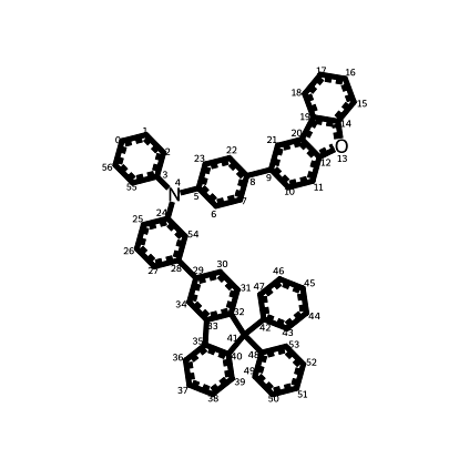 c1ccc(N(c2ccc(-c3ccc4oc5ccccc5c4c3)cc2)c2cccc(-c3ccc4c(c3)-c3ccccc3C4(c3ccccc3)c3ccccc3)c2)cc1